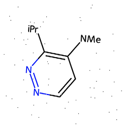 CNc1ccnnc1C(C)C